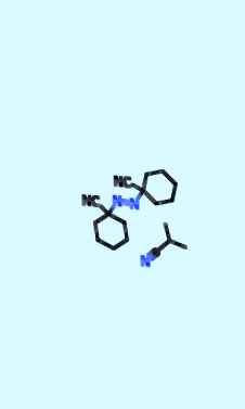 CC(C)C#N.N#CC1(N=NC2(C#N)CCCCC2)CCCCC1